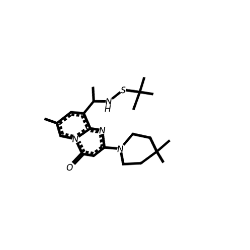 Cc1cc(C(C)NSC(C)(C)C)c2nc(N3CCC(C)(C)CC3)cc(=O)n2c1